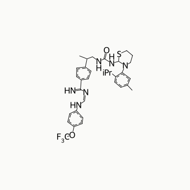 Cc1ccc(C(C)C)c(N2CCCSC2NC(=O)NCC(C)c2ccc(C(=N)/N=C\Nc3ccc(OC(F)(F)F)cc3)cc2)c1